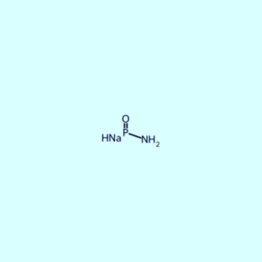 NP=O.[NaH]